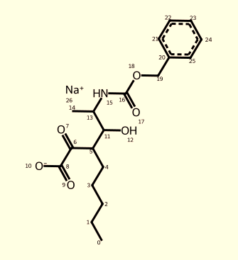 CCCCCC(C(=O)C(=O)[O-])C(O)C(C)NC(=O)OCc1ccccc1.[Na+]